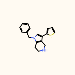 c1ccc(Cn2cc(-c3cccs3)c3c2CCNC3)cc1